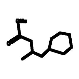 COC(=O)CC(C)CC1CCCCC1